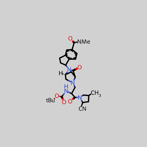 CNC(=O)c1ccc2c(c1)CCC2N1C(=O)C2C[C@H]1CN2CC(NC(=O)OC(C)(C)C)C(=O)N1CC(C)CC1C#N